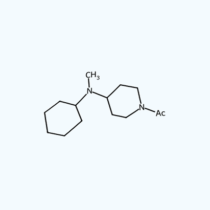 CC(=O)N1CCC(N(C)C2CCCCC2)CC1